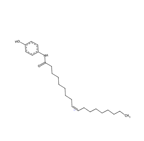 CCCCCCCC/C=C\CCCCCCCC(=O)Nc1ccc(O)cc1